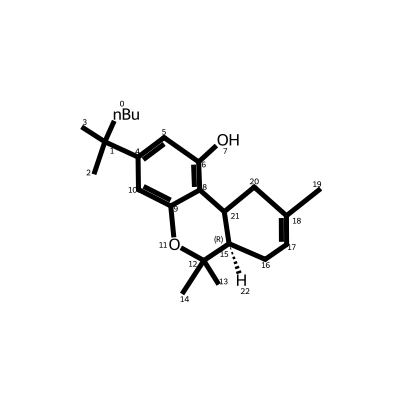 CCCCC(C)(C)c1cc(O)c2c(c1)OC(C)(C)[C@@H]1CC=C(C)CC21